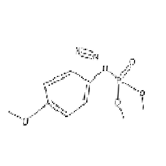 COc1ccc(OP(=O)(OC)OC)cc1.N#N